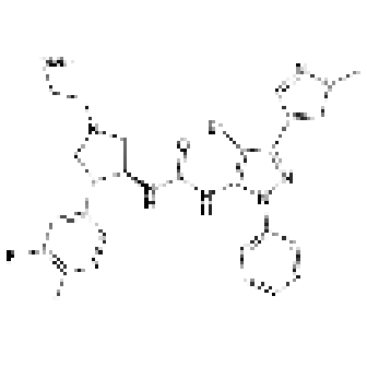 COCCN1C[C@@H](NC(=O)Nc2c(Br)c(-c3cnn(C)c3)nn2-c2ccccc2)[C@H](c2ccc(F)c(F)c2)C1